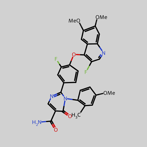 COc1ccc(-n2c(-c3ccc(Oc4c(F)cnc5cc(OC)c(OC)cc45)c(F)c3)ncc(C(N)=O)c2=O)c(C)c1